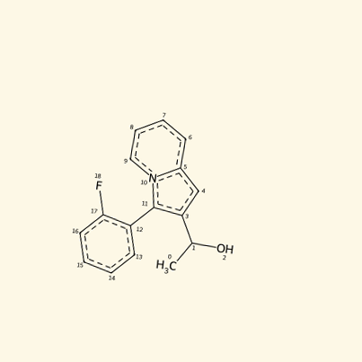 CC(O)c1cc2ccccn2c1-c1ccccc1F